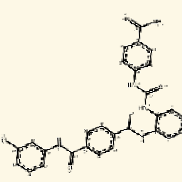 CC(Nc1ccccc1NC(=O)Nc1ccc(C(=N)N)cc1)c1ccc(C(=O)Nc2cccc(Cl)c2)cc1